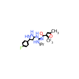 Cc1cc(C(=O)/N=C(/NC(C)C)NC2CC(c3ccc(F)cc3)NN2)c(C(F)(F)F)o1